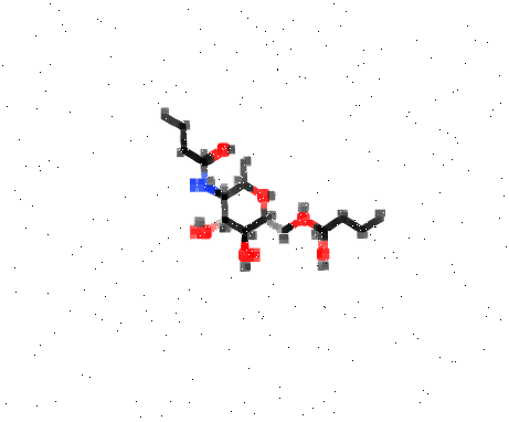 CCCC(=O)N[C@H]1C(C)O[C@H](COC(=O)CCC)[C@@H](O)[C@@H]1O